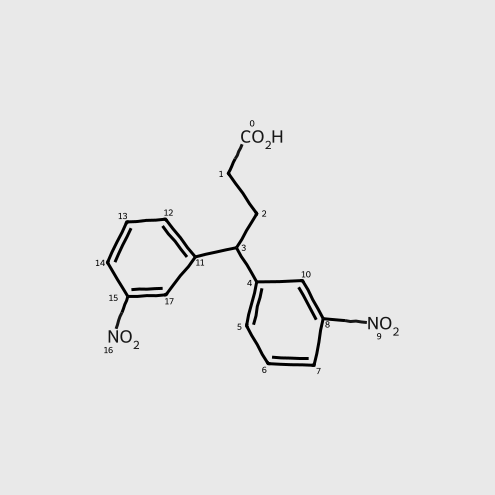 O=C(O)CCC(c1cccc([N+](=O)[O-])c1)c1cccc([N+](=O)[O-])c1